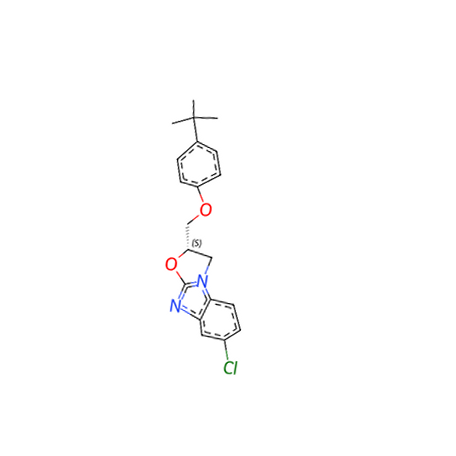 CC(C)(C)c1ccc(OC[C@@H]2Cn3c(nc4cc(Cl)ccc43)O2)cc1